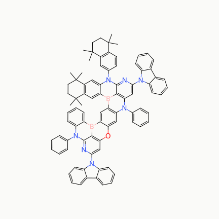 CC1(C)CCC(C)(C)c2cc(N3c4cc5c(cc4B4c6cc7c(cc6N(c6ccccc6)c6cc(-n8c9ccccc9c9ccccc98)nc3c64)Oc3cc(-n4c6ccccc6c6ccccc64)nc4c3B7c3ccccc3N4c3ccccc3)C(C)(C)CCC5(C)C)ccc21